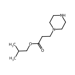 CC(C)COC(=O)CCN1CCNCC1